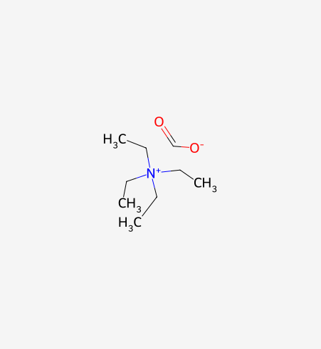 CC[N+](CC)(CC)CC.O=C[O-]